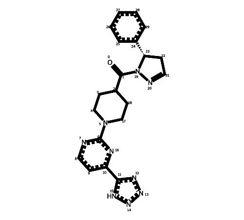 O=C(C1CCN(c2nccc(-c3nnn[nH]3)n2)CC1)N1N=CC[C@H]1c1ccccc1